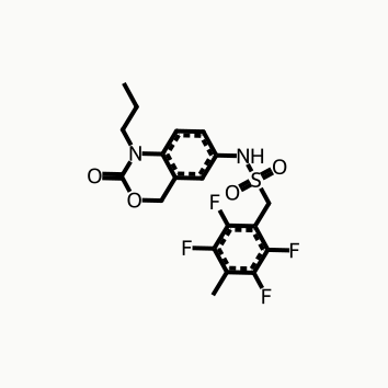 CCCN1C(=O)OCc2cc(NS(=O)(=O)Cc3c(F)c(F)c(C)c(F)c3F)ccc21